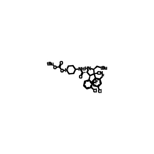 CC(C)(C)C[C@@H]1N[C@@H](C(=O)NC2CCN(OC(=O)OC(C)(C)C)CC2)[C@H](c2cccc(Cl)c2F)[C@@]1(C#N)c1ccc(Cl)cc1F